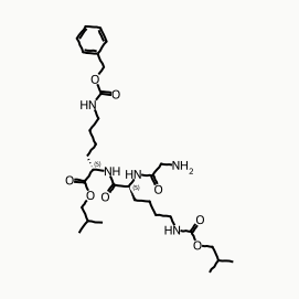 CC(C)COC(=O)NCCCC[C@H](NC(=O)CN)C(=O)N[C@@H](CCCCNC(=O)OCc1ccccc1)C(=O)OCC(C)C